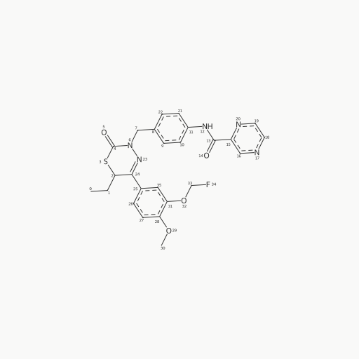 CCC1SC(=O)N(Cc2ccc(NC(=O)c3cnccn3)cc2)N=C1c1ccc(OC)c(OCF)c1